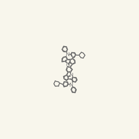 c1ccc(N(c2ccc(C3CCCCC3)cc2)c2cccc3c2c2cccc4c5cc6c(cc5n3c42)c2cccc3c4c(N(c5ccccc5)c5ccc(C7CCCCC7)cc5)cccc4n6c23)cc1